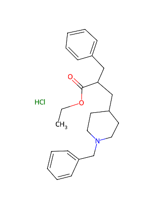 CCOC(=O)C(Cc1ccccc1)CC1CCN(Cc2ccccc2)CC1.Cl